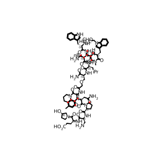 CCCC[C@@H](C(=O)N(C)[C@@H](CCCC)C(=O)N[C@@H](CC(C)C)C(=O)N[C@@H](COCC(=O)N[C@@H](Cc1ccc(C)cc1)C(=O)N1CCCC[C@H]1C(=O)N[C@@H](CC(N)=O)C(=O)N1CCC[C@H]1C(=O)N[C@@H](CN)C(=O)N[C@@H](CCC(=O)O)C(=O)N1CC[C@@H](O)C1)C(N)=O)N(C)C(=O)[C@H](Cc1cn(CC(=O)O)c2ccccc12)NC(=O)[C@H](CCN)NC(=O)[C@H](Cc1c[nH]c2ccccc12)NC=O